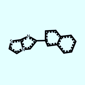 c1ccc2cc(-c3cn4ccsc4n3)ccc2c1